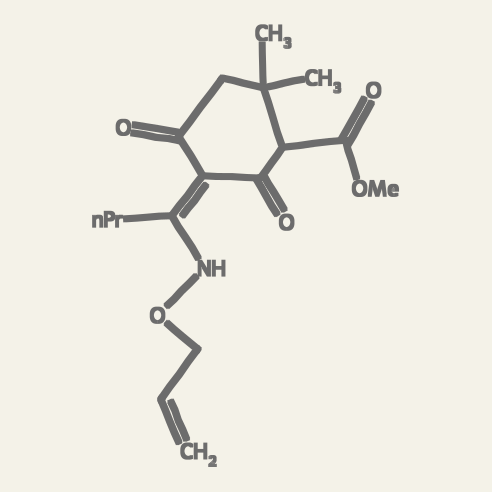 C=CCON/C(CCC)=C1/C(=O)CC(C)(C)C(C(=O)OC)C1=O